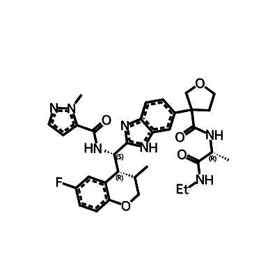 CCNC(=O)[C@@H](C)NC(=O)C1(c2ccc3nc([C@@H](NC(=O)c4ccnn4C)[C@H]4c5cc(F)ccc5OCC4C)[nH]c3c2)CCOC1